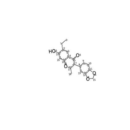 CCc1cc2c(=O)c(-c3ccc4c(c3)OCO4)c(C)oc2cc1O